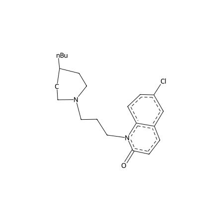 CCCCC1CCN(CCCn2c(=O)ccc3cc(Cl)ccc32)CC1